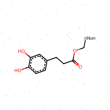 CCCCCCCCCCOC(=O)CCc1ccc(O)c(O)c1